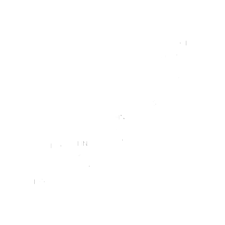 CC(C)(CCSCCNC(=O)CCNC(=O)C(O)CCO)CC(=O)O